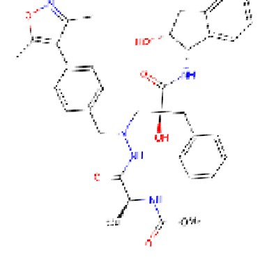 COC(=O)N[C@H](C(=O)NN(Cc1ccc(-c2c(C)noc2C)cc1)C[C@@](O)(Cc1ccccc1)C(=O)N[C@H]1c2ccccc2C[C@H]1O)C(C)(C)C